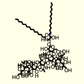 CCCCCCCCCCCCC/C=C/[C@@H](O)[C@H](CO[C@@H]1OC(CO)[C@@H](O[C@@H]2OC(CO)[C@H](O[C@@H]3OC(CO)[C@H](O)[C@H](O[C@@H]4OC(CO)[C@H](O)[C@H](O[C@]5(C(=O)O)CC(O)[C@@H](NC(C)=O)C([C@H](O)[C@H](O)CO)O5)C4O)C3NC(C)=O)[C@H](O[C@]3(C(=O)O)CC(O)[C@@H](NC(=O)CO)C([C@H](O)[C@H](O)CO)O3)C2O)[C@H](O)C1O)NC(=O)CCCCCCCCCCCCCCC